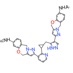 CC(=O)Nc1ccc2c(c1)OCc1cc(-c3cccnc3C3CC3Cc3[nH]ncc3-c3cc4n(n3)Cc3ccc(NC(C)=O)cc3OC4)nn1C2